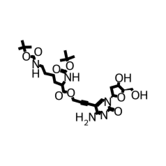 CC(C)(C)OC(=O)NCCCCC(NC(=O)OC(C)(C)C)C(=O)OCC#Cc1cn([C@H]2CC(O)[C@@H](CO)O2)c(=O)nc1N